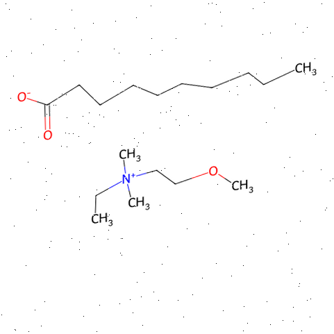 CCCCCCCCCC(=O)[O-].CC[N+](C)(C)CCOC